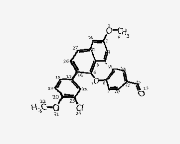 COc1ccc2c(Oc3ccc(C=O)cc3)c(-c3ccc(OC)c(Cl)c3)ccc2c1